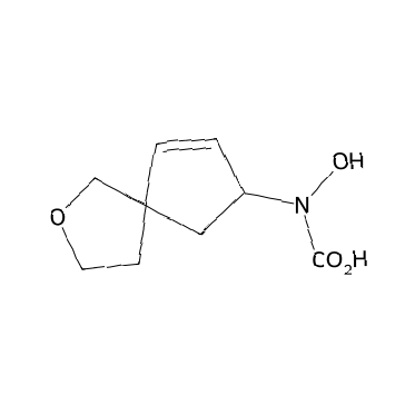 O=C(O)N(O)C1C=CC2(CCOC2)C1